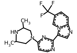 CC1CN(c2ccnc(-c3cnc4ccc(C(F)(F)F)cn34)n2)CC(C)N1